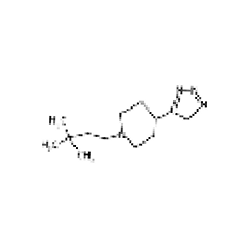 CC(C)(C)CCN1CCC(C2=NN=NC2)CC1